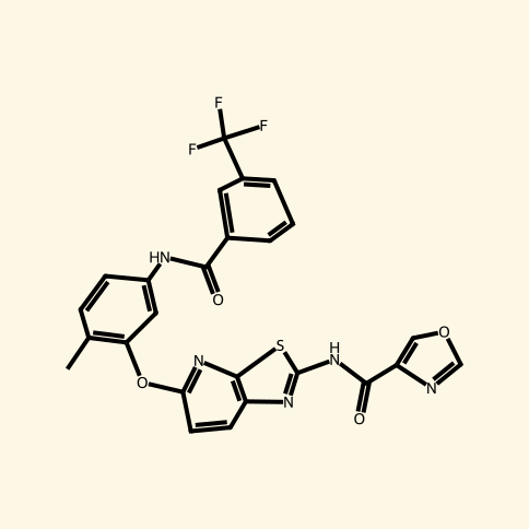 Cc1ccc(NC(=O)c2cccc(C(F)(F)F)c2)cc1Oc1ccc2nc(NC(=O)c3cocn3)sc2n1